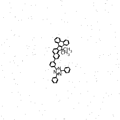 CC1(C)c2c(ccc3cc(-c4cccc(-c5nc(-c6ccccc6)nc(-c6ccccc6)n5)c4)ccc23)-c2c1c1ccccc1c1ccccc21